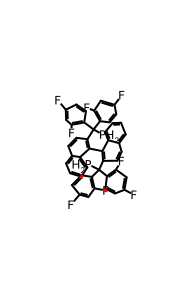 Fc1ccc(C(P)(c2ccc(F)cc2F)c2ccc3ccccc3c2-c2c(C(P)(c3ccc(F)cc3F)c3ccc(F)cc3F)ccc3ccccc23)c(F)c1